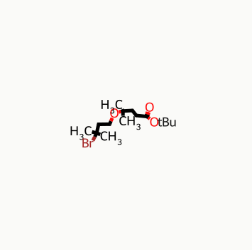 CC(C)(Br)CCOC(C)(C)CCC(=O)OC(C)(C)C